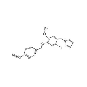 CCOc1cc(Cn2ccnc2)c(I)cc1OCc1ccc(OC)nc1